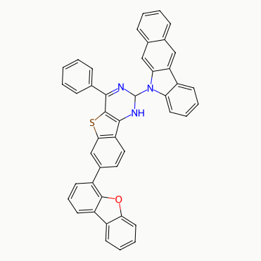 c1ccc(C2=NC(n3c4ccccc4c4cc5ccccc5cc43)Nc3c2sc2cc(-c4cccc5c4oc4ccccc45)ccc32)cc1